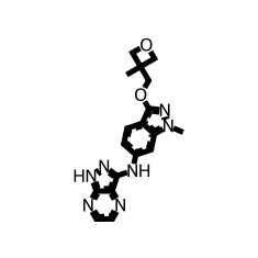 Cn1nc(OCC2(C)COC2)c2ccc(Nc3n[nH]c4nccnc34)cc21